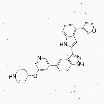 c1cc(-c2ccoc2)c2cc(-c3n[nH]c4ccc(-c5cncc(OC6CCNCC6)c5)cc34)[nH]c2c1